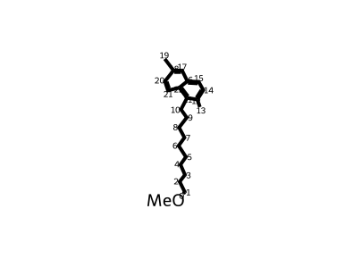 COCCCCCCCCCCc1c(C)ccc2cc(C)ccc12